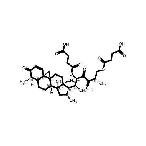 C=C(CCC(=O)O)O[C@@H](C(=O)C(=C)[C@@H](C)COC(=O)CCC(=O)O)[C@@H](C)[C@H]1[C@@H](C)C[C@@]2(C)[C@@H]3CC[C@H]4[C@H](C)C(=O)C=C[C@@]45C[C@@]35CC[C@]12C